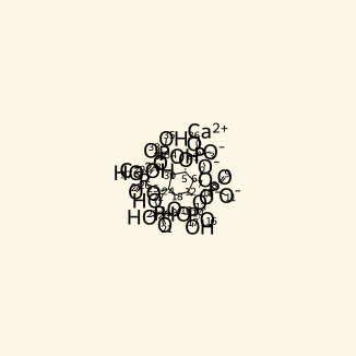 O=P([O-])([O-])O[C@@H]1[C@H](OP(=O)([O-])[O-])[C@@H](OP(=O)(O)O)[C@H](OP(=O)(O)O)[C@@H](OP(=O)(O)O)[C@@H]1OP(=O)(O)O.[Ca+2].[Ca+2]